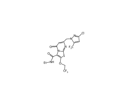 CCNC(=O)c1c(OCC(F)(F)F)sc2nc(Cn3nc(Cl)cc3C(F)(F)F)cc(=O)n12